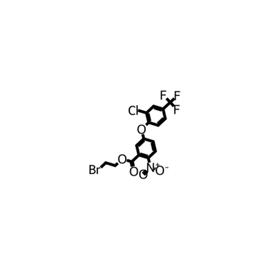 O=C(OCCBr)c1cc(Oc2ccc(C(F)(F)F)cc2Cl)ccc1[N+](=O)[O-]